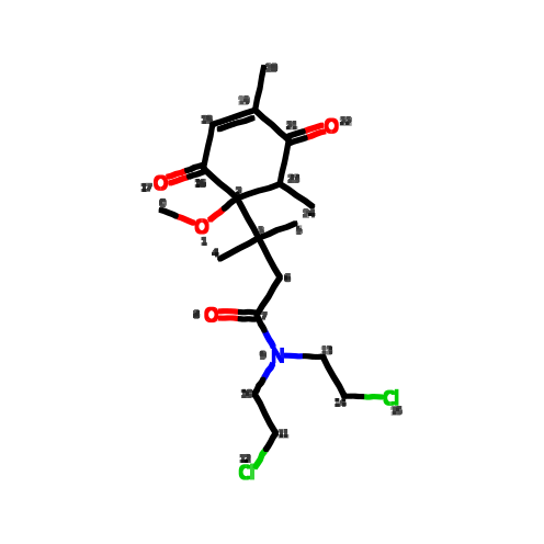 COC1(C(C)(C)CC(=O)N(CCCl)CCCl)C(=O)C=C(C)C(=O)C1C